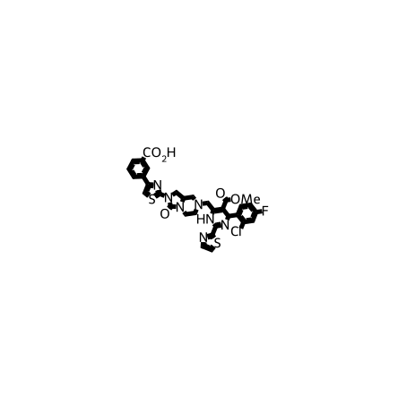 COC(=O)C1=C(CN2CCN3C(=O)N(c4nc(-c5cccc(C(=O)O)c5)cs4)CC3C2)NC(c2nccs2)=NC1c1ccc(F)cc1Cl